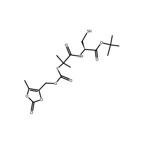 Cc1oc(=O)oc1COC(=O)SC(C)(C)C(=O)N[C@@H](CS)C(=O)OC(C)(C)C